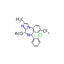 CC(=O)OC1N=C(c2ccccc2Cl)c2cc(C(F)(F)F)ccc2-n2cc(C)nc21